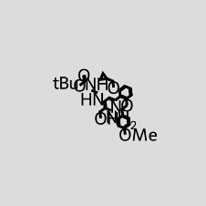 COc1ccc(COc2cccc(OCC3CC3)c2-c2cc(NCCNC(=O)OC(C)(C)C)c(CO)c(N)n2)cc1